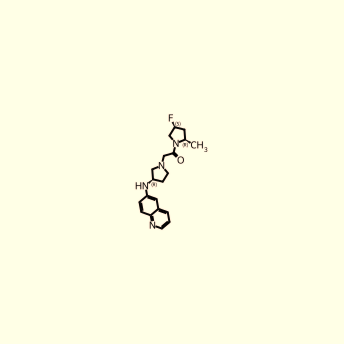 C[C@@H]1C[C@H](F)CN1C(=O)CN1CC[C@@H](Nc2ccc3ncccc3c2)C1